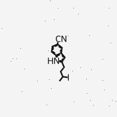 CC(I)CCc1cc2cc(C#N)ccc2[nH]1